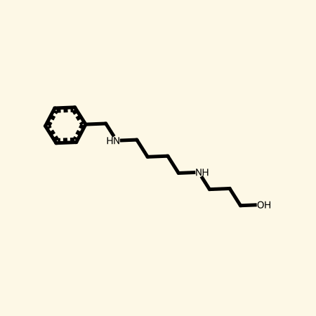 OCCCNCCCCNCc1ccccc1